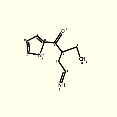 CCC(CC=N)C(=O)c1ccc[nH]1